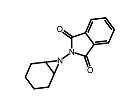 O=C1c2ccccc2C(=O)N1N1C2CCCCC21